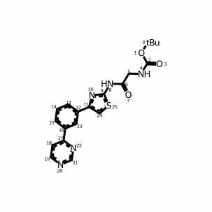 CC(C)(C)OC(=O)NCC(=O)Nc1nc(-c2cccc(-c3ccncn3)c2)cs1